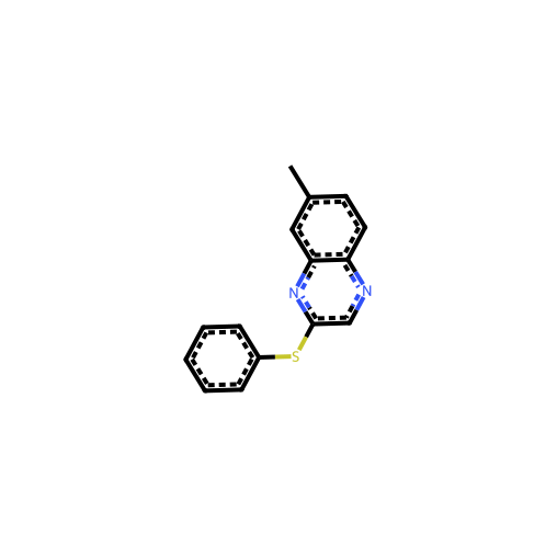 Cc1ccc2ncc(Sc3ccccc3)nc2c1